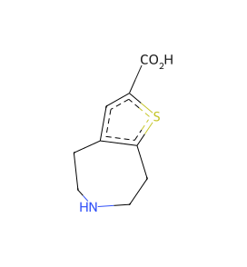 O=C(O)c1cc2c(s1)CCNCC2